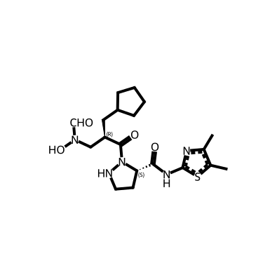 Cc1nc(NC(=O)[C@@H]2CCNN2C(=O)[C@H](CC2CCCC2)CN(O)C=O)sc1C